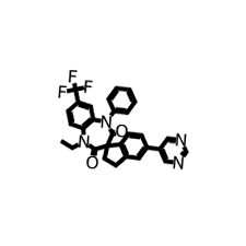 CCN1C(=O)C2(CCc3cc(-c4cncnc4)ccc32)C(=O)N(c2ccccc2)c2cc(C(F)(F)F)ccc21